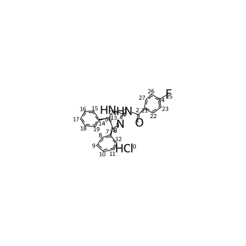 Cl.O=C(NC1=N[C@@H](c2ccccc2)[C@@H](c2ccccc2)N1)c1ccc(F)cc1